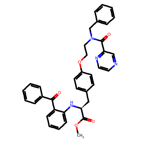 COC(=O)[C@H](Cc1ccc(OCCN(Cc2ccccc2)C(=O)c2cnccn2)cc1)Nc1ccccc1C(=O)c1ccccc1